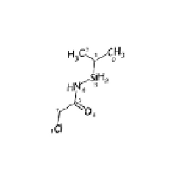 CC(C)[SiH2]NC(=O)CCl